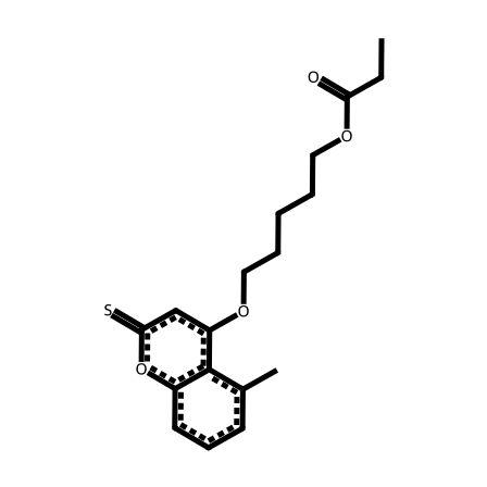 CCC(=O)OCCCCCOc1cc(=S)oc2cccc(C)c12